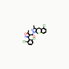 Cc1nn(C(=O)c2c(-c3c(Cl)cccc3Cl)noc2C)c(C)c1Cc1c(F)cccc1Cl